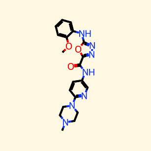 COc1ccccc1Nc1nnc(C(=O)Nc2ccc(N3CCN(C)CC3)nc2)o1